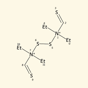 CC[N+](C=S)(CC)SS[N+](C=S)(CC)CC